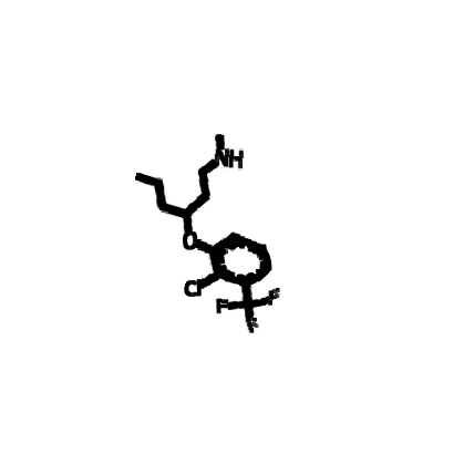 CCCC(CCNC)Oc1cccc(C(F)(F)F)c1Cl